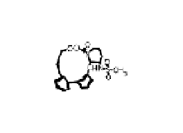 CS(=O)(=O)NC1CCCN2C(=O)OCCCCCc3ccccc3-c3cccc(c3)CC12